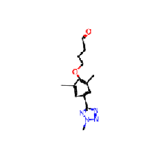 Cc1cc(-c2nnn(C)n2)cc(C)c1OCCCC=O